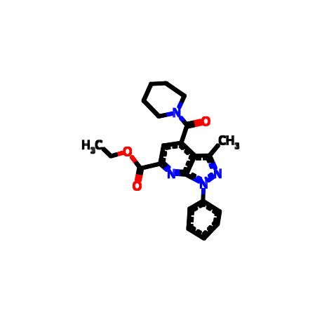 CCOC(=O)c1cc(C(=O)N2CCCCC2)c2c(C)nn(-c3ccccc3)c2n1